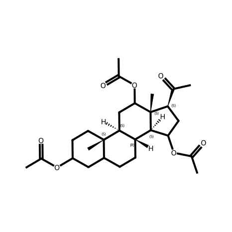 CC(=O)OC1CC[C@@]2(C)C(CC[C@H]3[C@@H]4C(OC(C)=O)C[C@H](C(C)=O)[C@@]4(C)C(OC(C)=O)C[C@@H]32)C1